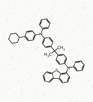 CC(C)(c1ccc(N(c2ccccc2)c2ccc(C3CCCCC3)cc2)cc1)c1ccc(N(c2ccccc2)c2cccc3c2sc2ccccc23)cc1